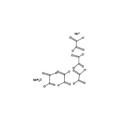 O.O=C([O-])C(=O)[O-].O=C([O-])C(=O)[O-].O=C([O-])C(=O)[O-].O=C([O-])C(=O)[O-].O=C([O-])C(=O)[O-].[Nb+5].[Nb+5]